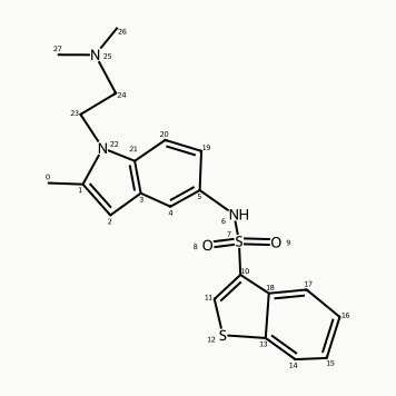 Cc1cc2cc(NS(=O)(=O)c3csc4ccccc34)ccc2n1CCN(C)C